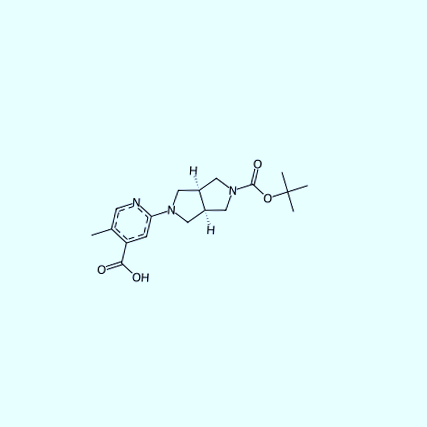 Cc1cnc(N2C[C@H]3CN(C(=O)OC(C)(C)C)C[C@H]3C2)cc1C(=O)O